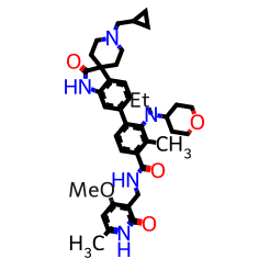 CCN(c1c(-c2ccc3c(c2)NC(=O)C32CCN(CC3CC3)CC2)ccc(C(=O)NCc2c(OC)cc(C)[nH]c2=O)c1C)C1CCOCC1